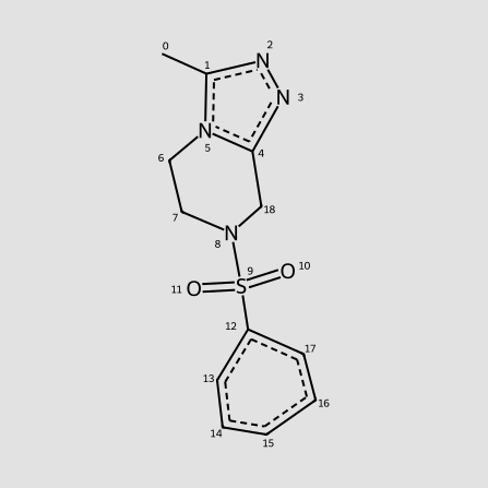 Cc1nnc2n1CCN(S(=O)(=O)c1ccccc1)C2